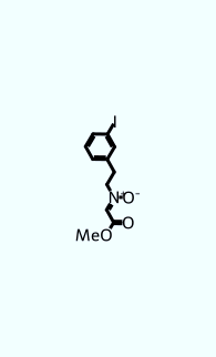 COC(=O)C=[N+]([O-])CCc1cccc(I)c1